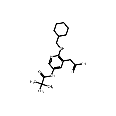 CC(C)(C)C(=O)Nc1cnc(NCC2CCCCC2)c(CC(=O)O)c1